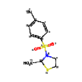 CC(C)(C)c1ccc(S(=O)(=O)N2CCSC2C(=O)O)cc1